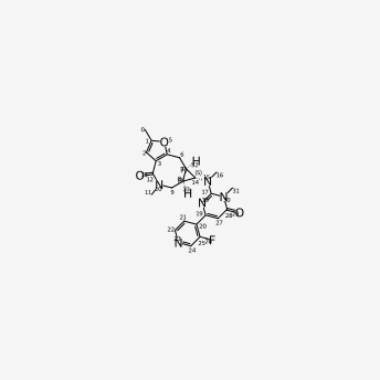 Cc1cc2c(o1)C[C@@H]1[C@H](CN(C)C2=O)[C@H]1N(C)c1nc(-c2ccncc2F)cc(=O)n1C